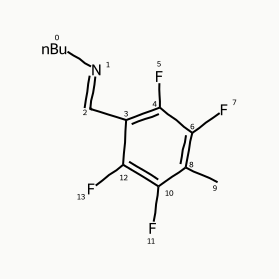 CCCCN=Cc1c(F)c(F)c(C)c(F)c1F